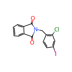 O=C1c2ccccc2C(=O)N1Cc1ccc(I)cc1Cl